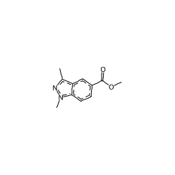 COC(=O)c1ccc2c(c1)c(C)nn2C